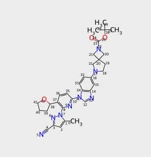 Cc1cc(C#N)nn1-c1nc(-n2cnc3cc(N4CCC5(CN(C(=O)OC(C)(C)C)C5)C4)ccc32)ccc1C1CCCO1